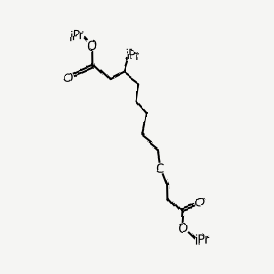 CC(C)OC(=O)CCCCCCCCC(CC(=O)OC(C)C)C(C)C